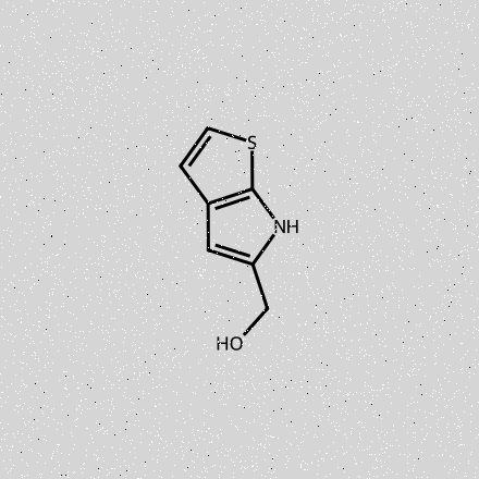 OCc1cc2ccsc2[nH]1